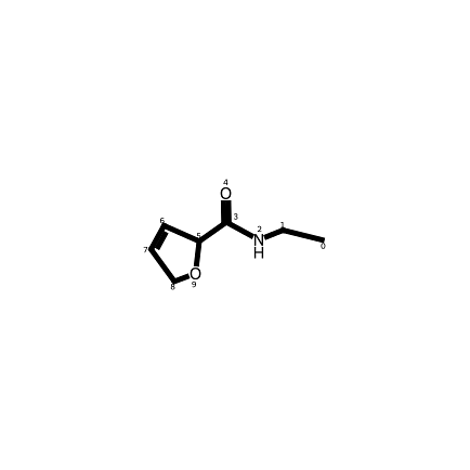 CCNC(=O)C1C=CCO1